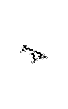 CC1(C)OC(=O)OC1=CCCN(CCC=C1OC(=O)OC1(C)C)C(=O)/C=C/C(N)=O